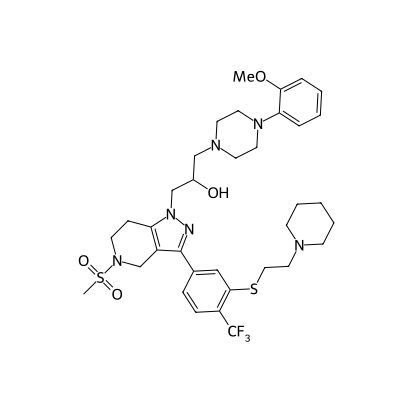 COc1ccccc1N1CCN(CC(O)Cn2nc(-c3ccc(C(F)(F)F)c(SCCN4CCCCC4)c3)c3c2CCN(S(C)(=O)=O)C3)CC1